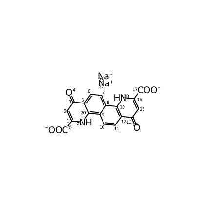 O=C([O-])c1cc(=O)c2ccc3c(ccc4c(=O)cc(C(=O)[O-])[nH]c43)c2[nH]1.[Na+].[Na+]